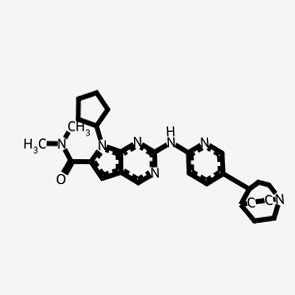 CN(C)C(=O)c1cc2cnc(Nc3ccc(C4CCN5CCC4CC5)cn3)nc2n1C1CCCC1